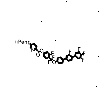 CCCCCc1ccc(C(=O)Oc2ccc(C(F)(F)Oc3ccc(-c4ccc(-c5cc(F)c(F)c(F)c5)c(F)c4)cc3)c(F)c2)nc1